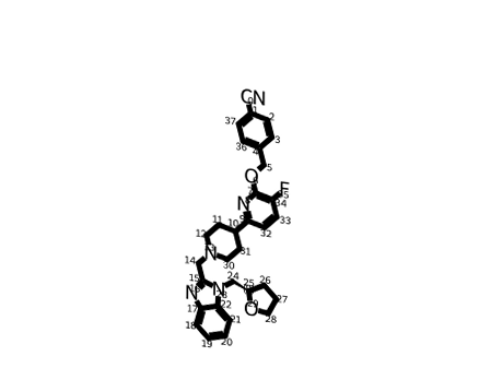 N#Cc1ccc(COc2nc(C3CCN(Cc4nc5ccccc5n4C[C@H]4CCCO4)CC3)ccc2F)cc1